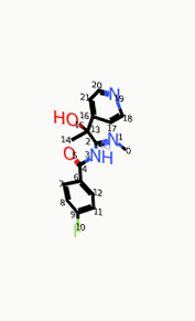 C/N=C(\NC(=O)c1ccc(F)cc1)C(C)(O)c1ccncc1